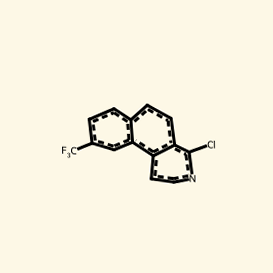 FC(F)(F)c1ccc2ccc3c(Cl)nccc3c2c1